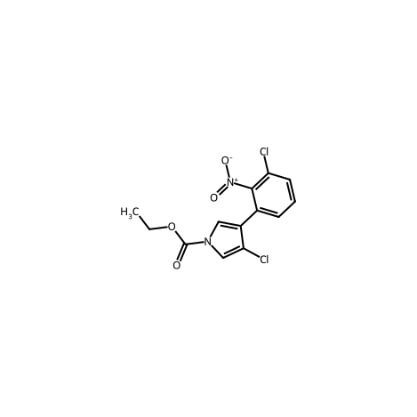 CCOC(=O)n1cc(Cl)c(-c2cccc(Cl)c2[N+](=O)[O-])c1